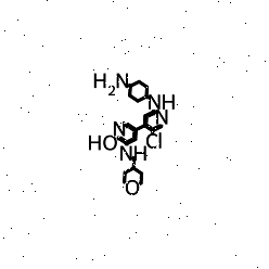 NC1CCC(Nc2cc(-c3cnc(O)c(NCC4CCOCC4)c3)c(Cl)cn2)CC1